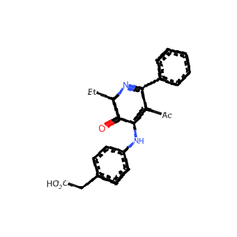 CCC1N=C(c2ccccc2)C(C(C)=O)=C(Nc2ccc(CC(=O)O)cc2)C1=O